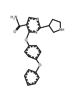 NC(=O)c1cnc(C2CCNC2)nc1Oc1ccc(Oc2ccccc2)cc1